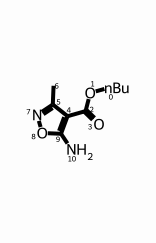 CCCCOC(=O)c1c(C)noc1N